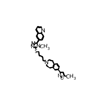 Cc1cc(-c2ccc3c(c2)CCN(CCCCSc2nnc(-c4ccc5ncccc5c4)n2C)CC3)no1